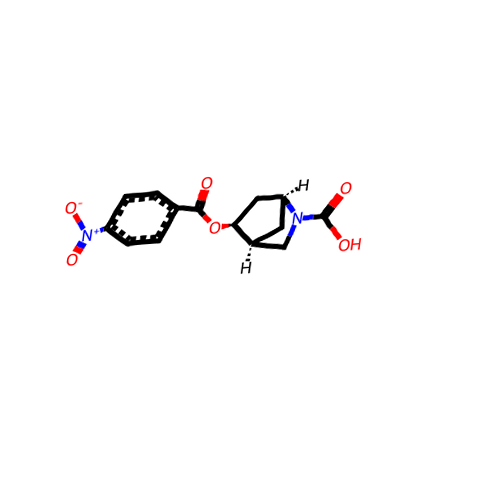 O=C(O[C@H]1C[C@@H]2C[C@H]1CN2C(=O)O)c1ccc([N+](=O)[O-])cc1